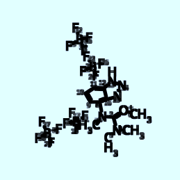 C[O+]=C(N(C)C)N(C)c1cccc2[nH]nnc12.F[B-](F)(F)F.F[B-](F)(F)F.F[B-](F)(F)F.F[B-](F)(F)F